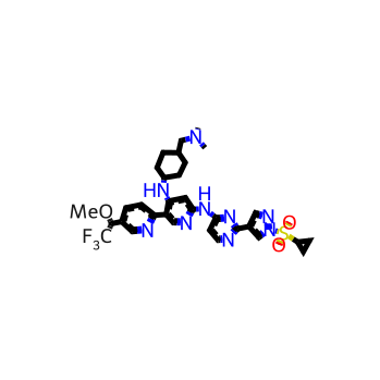 COC(c1ccc(-c2cnc(Nc3ccnc(-c4cnn(S(=O)(=O)C5CC5)c4)n3)cc2NC2CCC(CN(C)C)CC2)nc1)C(F)(F)F